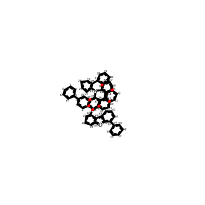 c1ccc(-c2ccc(N(c3cccc(-c4ccccc4N(c4ccccc4-c4ccccc4)c4ccccc4-c4ccccc4)c3)c3cccc4oc5c(-c6ccccc6)cccc5c34)cc2)cc1